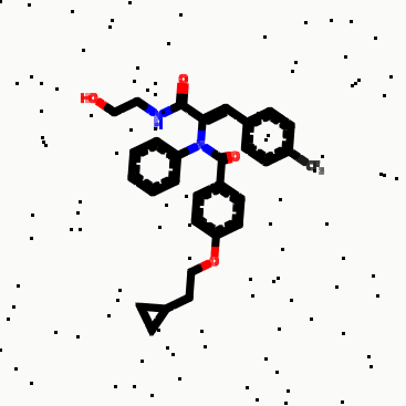 O=C(NCCO)/C(=C/c1ccc(C(F)(F)F)cc1)N(C(=O)c1ccc(OCCC2CC2)cc1)c1ccccc1